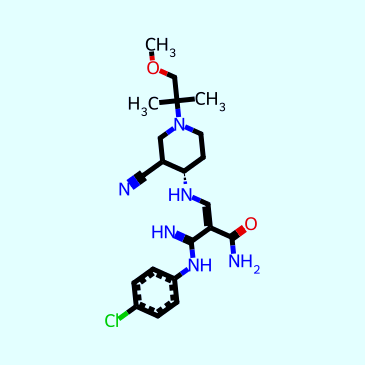 COCC(C)(C)N1CC[C@H](N/C=C(\C(=N)Nc2ccc(Cl)cc2)C(N)=O)C(C#N)C1